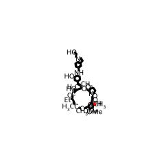 CCC1/C=C(\C)CC(C)CC(OC)C2OC(O)(C(=O)C(=O)N3CCCCC3C(=O)OC(C(C)=CC3CCC(NCc4ccc5c(ccn5CCO)c4)C(O)C3)C(C)C(O)CC1=O)C(C)CC2OC